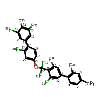 CCCc1ccc(-c2cc(F)c(C(F)(F)Oc3ccc(-c4cc(F)c(F)c(F)c4)c(F)c3)c(F)c2)c(F)c1